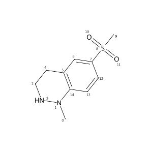 CN1NCCc2cc(S(C)(=O)=O)ccc21